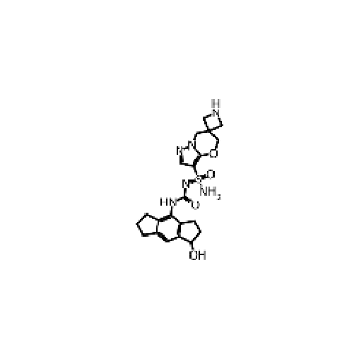 NS(=O)(=NC(=O)Nc1c2c(cc3c1CCC3O)CCC2)c1cnn2c1OCC1(CNC1)C2